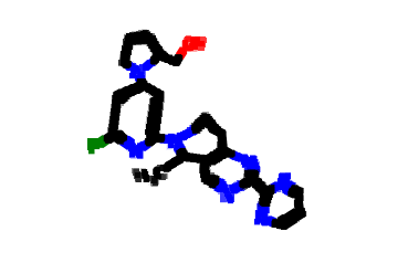 CC1c2cnc(-c3ncccn3)nc2CCN1c1cc(N2CCCC2CO)cc(F)n1